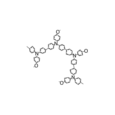 COc1ccc(N(c2ccc(C)cc2)c2ccc(-c3ccc(N(c4ccc(OC)cc4)c4ccc(-c5ccc(N(c6ccc(OC)cc6)c6ccc(-c7ccc(N(c8ccc(C)cc8)c8ccc(OC)cc8)cc7)cc6)cc5)cc4)cc3)cc2)cc1